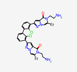 CCc1cn2nc(-c3cccc(-c4cccc(-c5cc6c(=O)n(CCN)c(CC)cn6n5)c4Cl)c3Cl)cc2c(=O)n1CCN